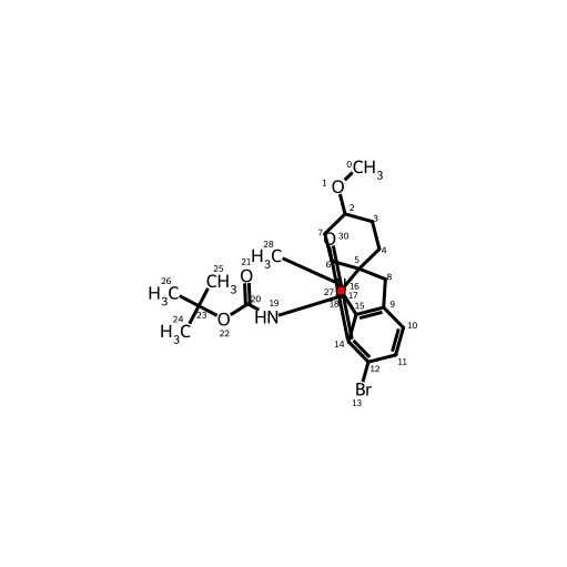 COC1CCC2(CC1)Cc1ccc(Br)cc1C21N=C(NC(=O)OC(C)(C)C)N(C)C1=O